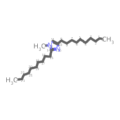 CCCCCCCCCCc1cn(C)c(CCCCCCCCCC)n1